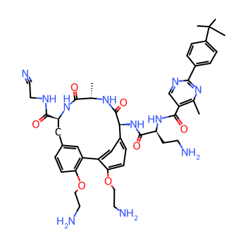 Cc1nc(-c2ccc(C(C)(C)C)cc2)ncc1C(=O)N[C@@H](CCN)C(=O)N[C@@H]1C(=O)N[C@@H](C)C(=O)N[C@H](C(=O)NCC#N)Cc2ccc(OCCN)c(c2)-c2cc1ccc2OCCN